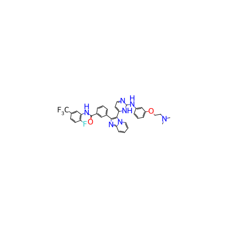 CN(C)CCOc1cccc(NC2N=CC=C(c3c(-c4cccc(C(=O)Nc5cc(C(F)(F)F)ccc5F)c4)nc4ccccn34)N2)c1